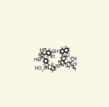 C=CC(=O)N1CCN(c2nc(OC[C@@H]3CC[C@H](CN(Cc4ccc(-n5c(O)nnc5-c5cc(CC)c(O)cc5O)cc4)C(=O)O)N3C)nc3c2CCN(c2cccc4cccc(Cl)c24)C3)C[C@@H]1CC#N